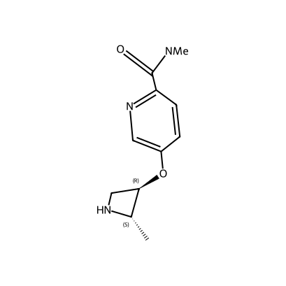 CNC(=O)c1ccc(O[C@@H]2CN[C@H]2C)cn1